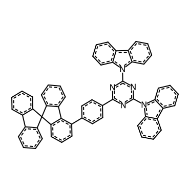 c1ccc2c(c1)-c1ccccc1C21c2ccccc2-c2c(-c3ccc(-c4nc(-n5c6ccccc6c6ccccc65)nc(-n5c6ccccc6c6ccccc65)n4)cc3)cccc21